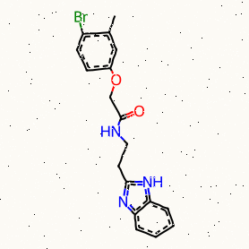 Cc1cc(OCC(=O)NCCc2nc3ccccc3[nH]2)ccc1Br